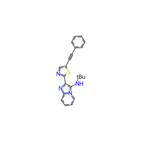 CC(C)(C)Nc1c(-c2ncc(C#Cc3ccccc3)s2)nc2ccccn12